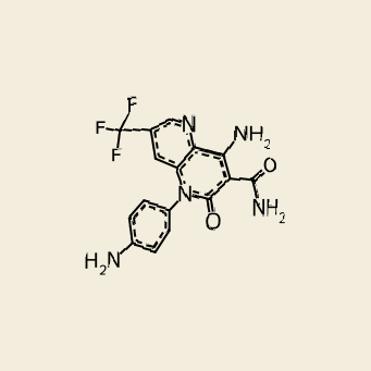 NC(=O)c1c(N)c2ncc(C(F)(F)F)cc2n(-c2ccc(N)cc2)c1=O